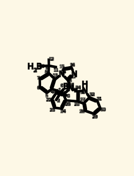 BC(C)(C)c1cccc(C(B)(C)C)c1-n1ccnc1-n1c2ccccc2c2c3ccccc3[nH]c21